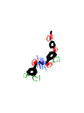 CCOC(=O)[C@H]1CC[C@@H](Oc2ccc(C(=O)NCCNC(=O)c3ccc(Cl)c(Cl)c3)c(Cl)c2)CC1